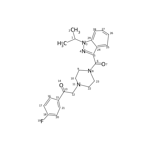 CC(C)n1nc(C(=O)N2CCN(CC(=O)c3ccc(F)cc3)CC2)c2ccccc21